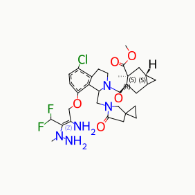 COC(=O)[C@@]1(C)C[C@@H]2CC2C[C@H]1C(=O)N1CCc2c(Cl)ccc(OC/C(N)=C(\C(F)F)N(C)N)c2C1CN1CC2(CC2)CC1=O